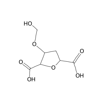 O=C(O)C1CC(OCO)C(C(=O)O)O1